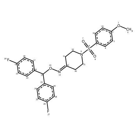 COc1ccc(S(=O)(=O)N2CCC(=NOC(c3ccc(F)cc3)c3ccc(F)cc3)CC2)cc1